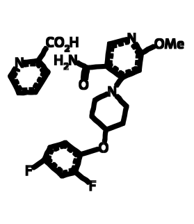 COc1cc(N2CCC(Oc3ccc(F)cc3F)CC2)c(C(N)=O)cn1.O=C(O)c1ccccn1